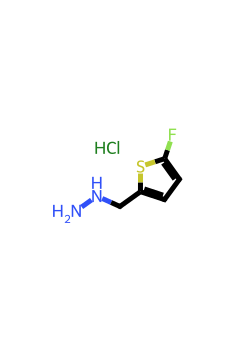 Cl.NNCc1ccc(F)s1